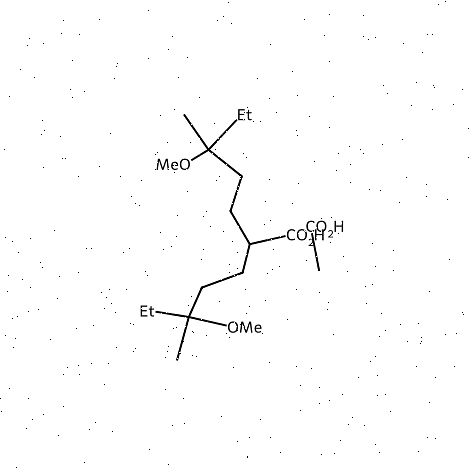 CC(=O)O.CCC(C)(CCC(CCC(C)(CC)OC)C(=O)O)OC